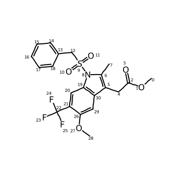 COC(=O)Cc1c(C)n(S(=O)(=O)Cc2ccccc2)c2cc(C(F)(F)F)c(OC)cc12